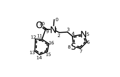 CN(CCc1nccs1)C(=O)c1ccccc1